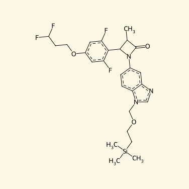 CC1C(=O)N(c2ccc3c(c2)ncn3COCC[Si](C)(C)C)C1c1c(F)cc(OCCC(F)F)cc1F